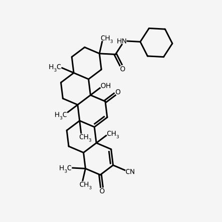 CC1(C(=O)NC2CCCCC2)CCC2(C)CCC3(C)C4(C)CCC5C(C)(C)C(=O)C(C#N)=CC5(C)C4=CC(=O)C3(O)C2C1